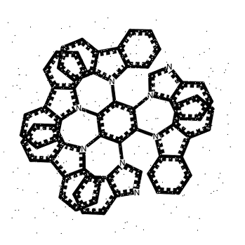 c1ccc2c(c1)ncn2-c1c(-n2c3ccccc3c3ccccc32)c(-n2cnc3ccccc32)c(-n2c3ccccc3c3ccccc32)c(-n2c3ccccc3c3ccccc32)c1-n1c2ccccc2c2ccccc21